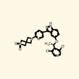 C[C@@H](Oc1ccc2[nH]nc(-c3ccc(N4CC5(C4)CS(=O)(=O)C5)nc3)c2c1)c1c(Cl)cncc1Cl